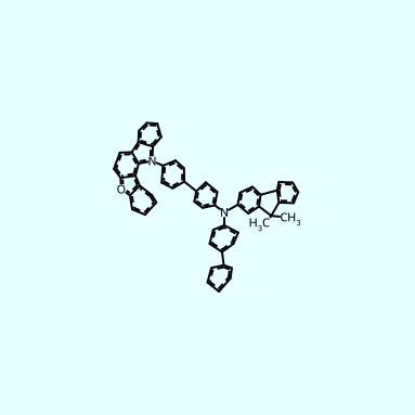 CC1(C)c2ccccc2-c2ccc(N(c3ccc(-c4ccccc4)cc3)c3ccc(-c4ccc(-n5c6ccccc6c6ccc7oc8ccccc8c7c65)cc4)cc3)cc21